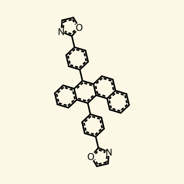 c1ccc2c(c1)ccc1c(-c3ccc(-c4ncco4)cc3)c3ccccc3c(-c3ccc(-c4ncco4)cc3)c12